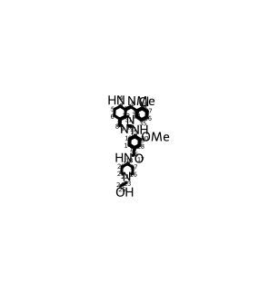 CN/C(=C1\C(=N)CCc2cnc(Nc3ccc(C(=O)NC4CCN(CCO)CC4)cc3OC)nc21)c1ccccc1Cl